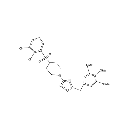 COc1cc(Cc2csc(N3CCC(S(=O)(=O)c4cccc(Cl)c4Cl)CC3)n2)cc(OC)c1OC